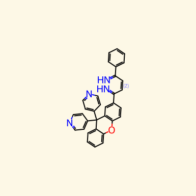 N=C(/C=C\C(=N)c1ccc2c(c1)C(c1ccncc1)(c1ccncc1)c1ccccc1O2)c1ccccc1